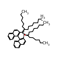 CCCCCCCCP(CCCCCCCC)c1ccc2ccccc2c1-c1c(P(CCCCCCCC)CCCCCCCC)ccc2ccccc12